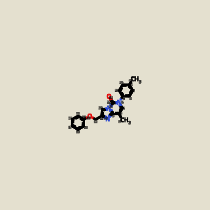 Cc1ccc(-n2cc(C)c3nc(COc4ccccc4)cn3c2=O)cc1